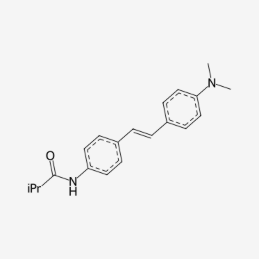 CC(C)C(=O)Nc1ccc(/C=C/c2ccc(N(C)C)cc2)cc1